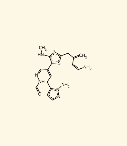 C=C(/C=C\N)Cc1nc(NC)c(C(/C=N\NC=O)=C/Cc2ccnn2N)s1